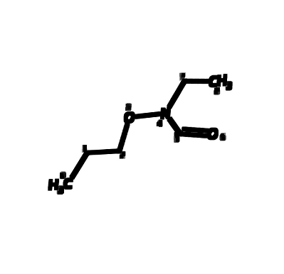 CCCON([C]=O)CC